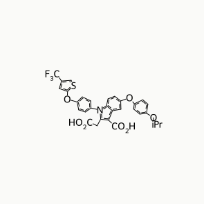 CC(C)Oc1ccc(Oc2ccc3c(c2)c(C(=O)O)c(CC(=O)O)n3-c2ccc(Oc3cc(C(F)(F)F)cs3)cc2)cc1